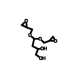 OCC(O)CC(OCC1CO1)OCC1CO1